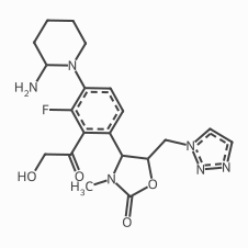 CN1C(=O)OC(Cn2ccnn2)C1c1ccc(N2CCCCC2N)c(F)c1C(=O)CO